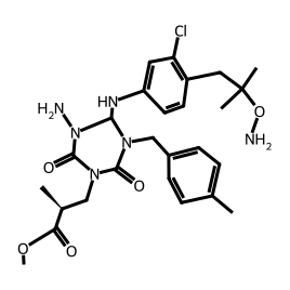 COC(=O)[C@@H](C)CN1C(=O)N(N)C(Nc2ccc(CC(C)(C)ON)c(Cl)c2)N(Cc2ccc(C)cc2)C1=O